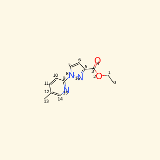 CCOC(=O)c1ccn(-c2ccc(C)cn2)n1